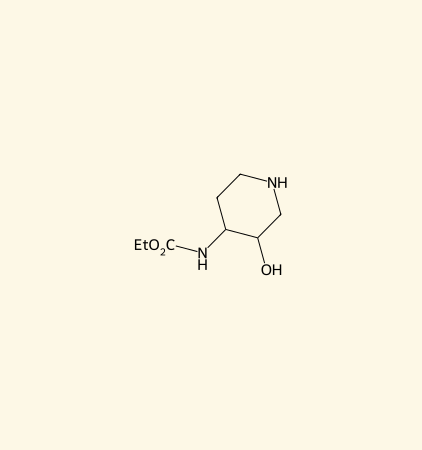 CCOC(=O)NC1CCNCC1O